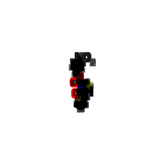 O=C(OCc1ccc([N+](=O)[O-])cc1)C1=CS[C@@H]2C(=Cc3cccs3)C(=O)N12